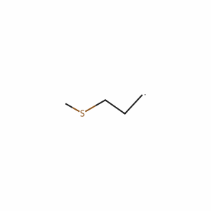 [CH2]CCSC